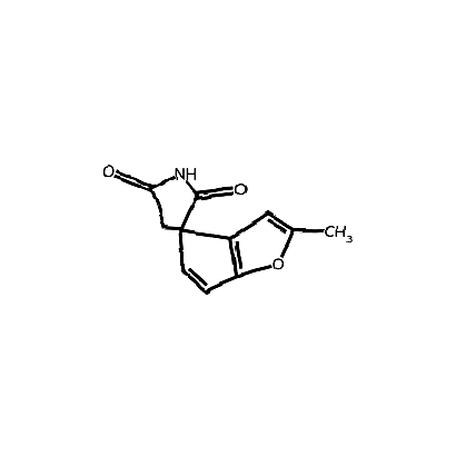 Cc1cc2c(o1)C=CC21CC(=O)NC1=O